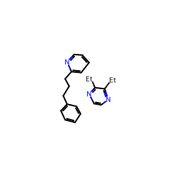 CCc1nccnc1CC.c1ccc(CCCc2ccccn2)cc1